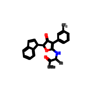 CCC(NC1=C(c2cccc(C(F)(F)F)c2)C(=O)C(C2C=Cc3ccccc32)O1)C(=O)OC